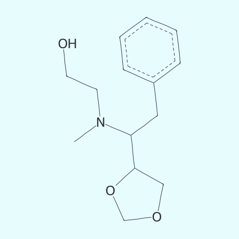 CN(CCO)C(Cc1ccccc1)C1COCO1